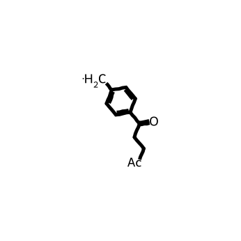 [CH2]c1ccc(C(=O)CCC(C)=O)cc1